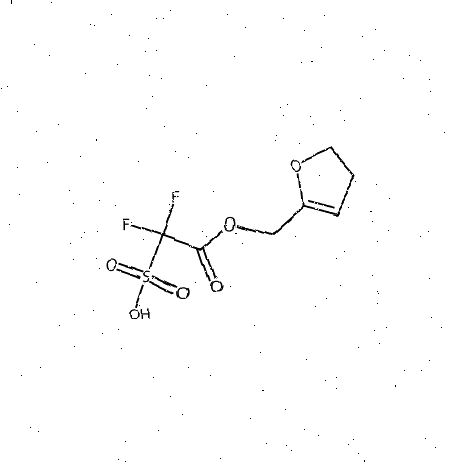 O=C(OCC1=CCCO1)C(F)(F)S(=O)(=O)O